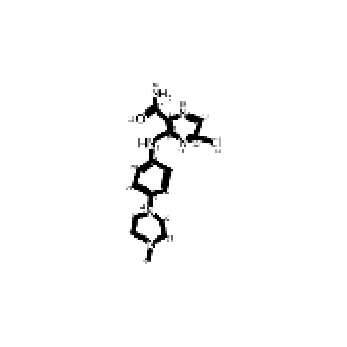 CN1CCN(c2ccc(Nc3nc(Cl)cnc3C(N)=O)cc2)CC1